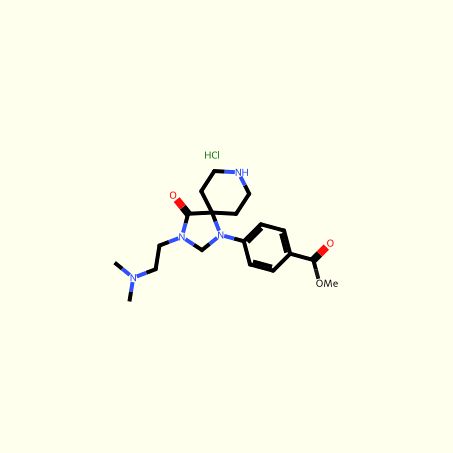 COC(=O)c1ccc(N2CN(CCN(C)C)C(=O)C23CCNCC3)cc1.Cl